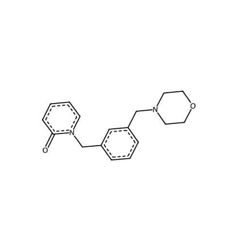 O=c1ccccn1Cc1cccc(CN2CCOCC2)c1